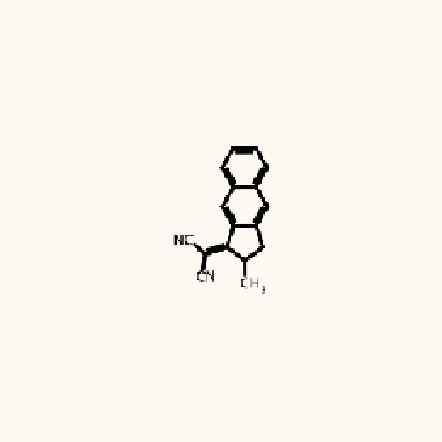 CC1Cc2cc3ccccc3cc2C1=C(C#N)C#N